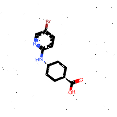 O=C(O)[C@H]1CC[C@H](Nc2ccc(Br)cn2)CC1